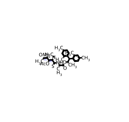 C=N/C(C(=S)N[C@@H](C)C(=O)O[C@@H](C)C(c1ccc(C)cc1C)c1ccc(C)cc1C)=C(OC(C)=O)\C(=C/C)OC